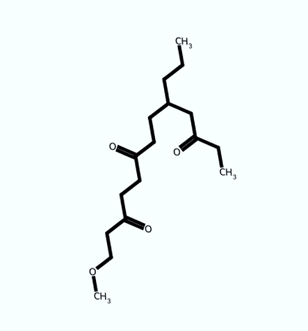 CCCC(CCC(=O)CCC(=O)CCOC)CC(=O)CC